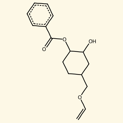 C=COCC1CCC(OC(=O)c2ccccc2)C(O)C1